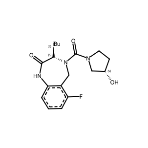 CC[C@H](C)[C@H]1C(=O)Nc2cccc(F)c2CN1C(=O)N1CC[C@H](O)C1